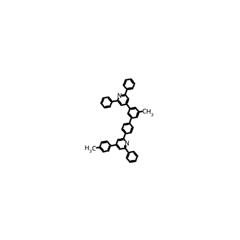 Cc1ccc(-c2cc(-c3ccccc3)nc(-c3ccc(-c4cc(C)cc(-c5cc(-c6ccccc6)nc(-c6ccccc6)c5)c4)cc3)c2)cc1